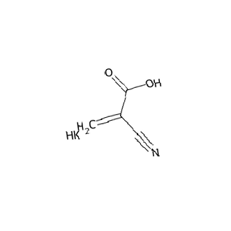 C=C(C#N)C(=O)O.[KH]